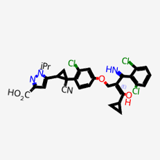 CC(C)n1nc(C(=O)O)cc1C1CC1(C#N)c1ccc(OC/C(C(=N)c2c(Cl)cccc2Cl)=C(/O)C2CC2)cc1Cl